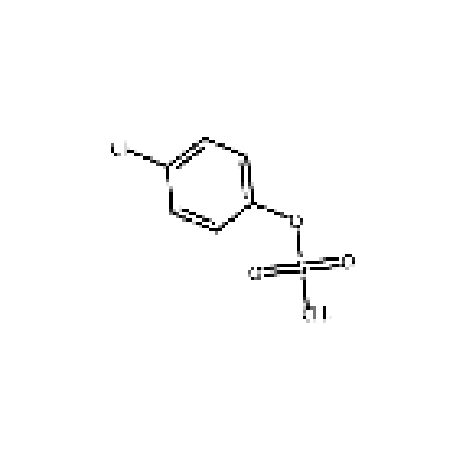 CS(=O)(=O)Oc1ccc(Cl)cc1